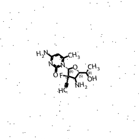 C#C[C@@]1(F)C(N)[C@@H]([C@@H](C)O)O[C@H]1n1c(C)cc(N)nc1=O